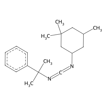 CC1CC(N=C=NC(C)(C)c2ccccc2)CC(C)(C)C1